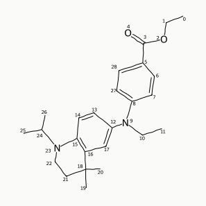 CCOC(=O)c1ccc(N(CC)c2ccc3c(c2)C(C)(C)CCN3C(C)C)cc1